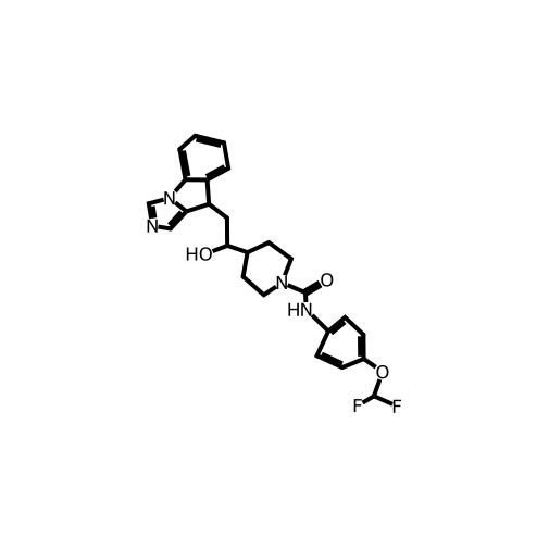 O=C(Nc1ccc(OC(F)F)cc1)N1CCC(C(O)CC2c3ccccc3-n3cncc32)CC1